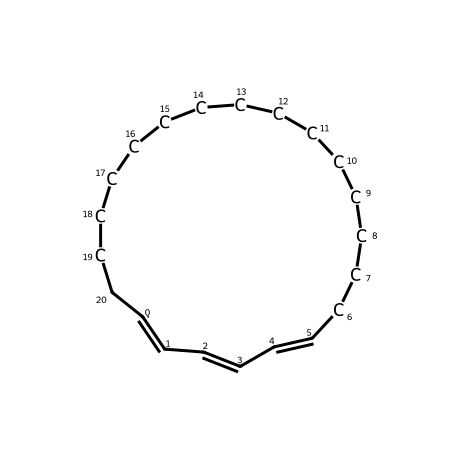 [C]1=C/C=C/C=C/CCCCCCCCCCCCCCC/1